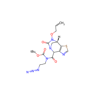 C=CCON1C(=O)N2C[C@H]1c1scnc1C2C(=O)N(CCN=[N+]=[N-])C(=O)OC(C)(C)C